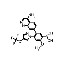 COc1cc(-n2cc(OC(F)(F)F)cn2)c(-c2ccc3c(N)cnnc3c2)cc1B(O)O